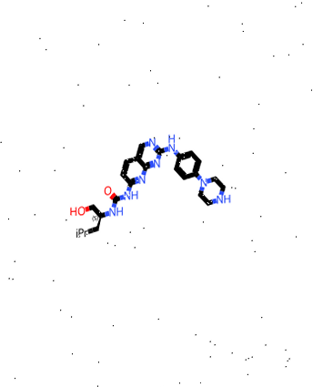 CC(C)C[C@@H](CO)NC(=O)Nc1ccc2cnc(Nc3ccc(N4CCNCC4)cc3)nc2n1